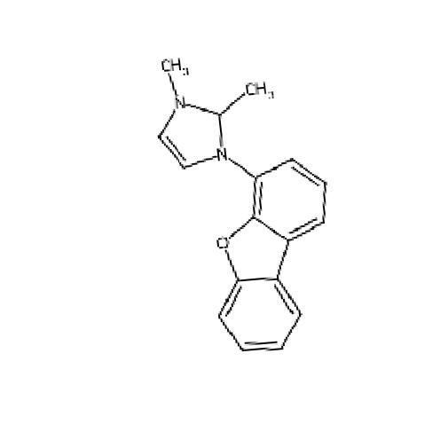 CC1N(C)C=CN1c1cccc2c1oc1ccccc12